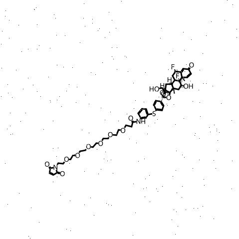 C[C@]12C=CC(=O)C=C1[C@@H](F)CC1[C@@H]3C[C@H]4O[C@@H](c5ccc(Sc6cccc(NC(=O)CCOCCOCCOCCOCCOCCOCCN7C(=O)C=CC7=O)c6)cc5)O[C@@]4(C(=O)CO)[C@@]3(C)C[C@H](O)[C@@]12F